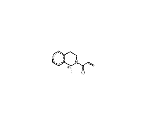 C=CC(=O)N1CCc2ccccc2[C@H]1C